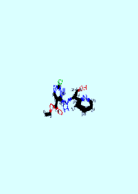 CCOC(=O)c1cnc(Cl)nc1NC(CO)c1ccccn1